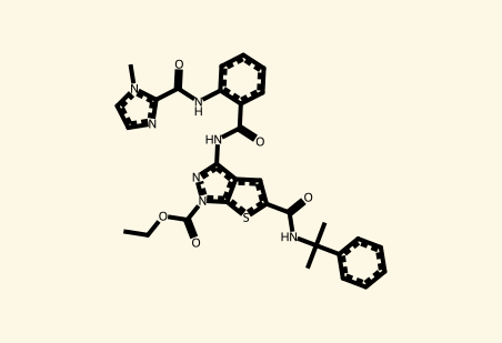 CCOC(=O)n1nc(NC(=O)c2ccccc2NC(=O)c2nccn2C)c2cc(C(=O)NC(C)(C)c3ccccc3)sc21